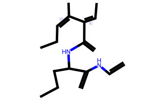 C=CNC(=C)C(CCC)NC(=C)C(=C/C)/C(C)=C\CC